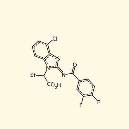 CCC(C(=O)O)n1c(=NC(=O)c2ccc(F)c(F)c2)sc2c(Cl)cccc21